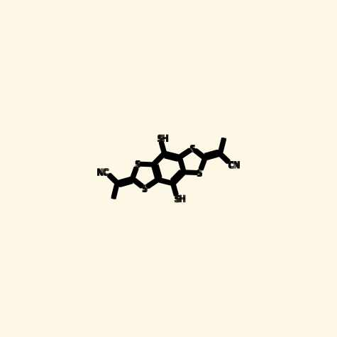 CC(C#N)=C1Sc2c(S)c3c(c(S)c2S1)SC(=C(C)C#N)S3